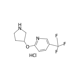 Cl.FC(F)(F)c1ccc(OC2CCNC2)nc1